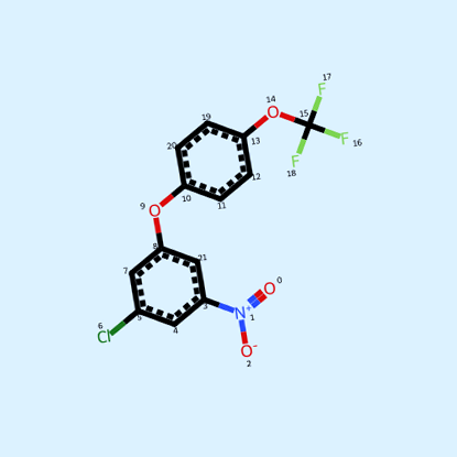 O=[N+]([O-])c1cc(Cl)cc(Oc2ccc(OC(F)(F)F)cc2)c1